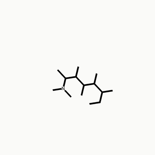 CCC(C)C(C)C(C)C(C)C(C)N(C)C